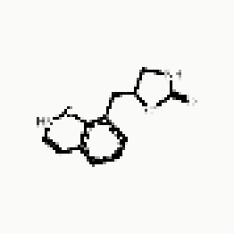 O=C1NC[C@H]([CH]c2cccc3c2ONC=C3)O1